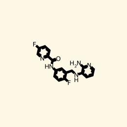 Nc1ncccc1NCc1cc(NC(=O)c2ccc(F)cn2)ccc1F